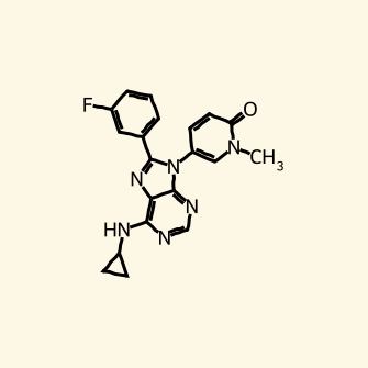 Cn1cc(-n2c(-c3cccc(F)c3)nc3c(NC4CC4)ncnc32)ccc1=O